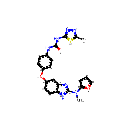 CCc1nnc(NC(=O)Nc2ccc(Oc3ccc4[nH]c(N(C=O)c5ccco5)nc4c3)cc2)s1